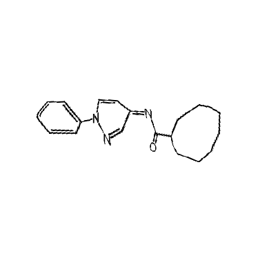 O=C(N=c1ccn(-c2ccccc2)nc1)C1CCCCCCC1